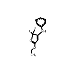 CCOC(=O)C=C(Nc1ccccc1)C(F)(F)F